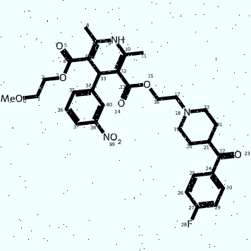 COCCOC(=O)C1=C(C)NC(C)=C(C(=O)OCCN2CCC(C(=O)c3ccc(F)cc3)CC2)C1c1cccc([N+](=O)[O-])c1